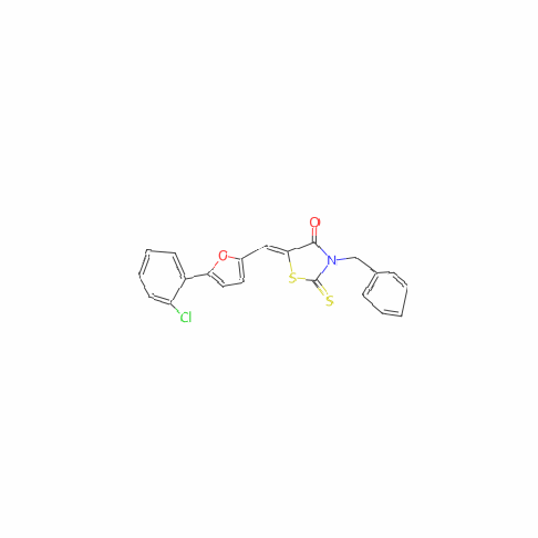 O=C1/C(=C/c2ccc(-c3ccccc3Cl)o2)SC(=S)N1Cc1ccccc1